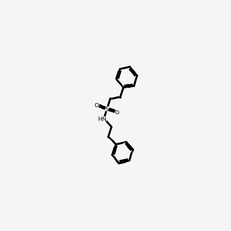 O=S(=O)(CCc1ccccc1)NCCc1ccccc1